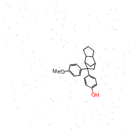 COc1ccc(C2(c3ccc(O)cc3)CC3CC2C2CCCC32)cc1